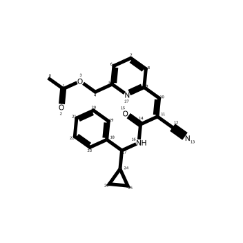 CC(=O)OCc1cccc(C=C(C#N)C(=O)NC(c2ccccc2)C2CC2)n1